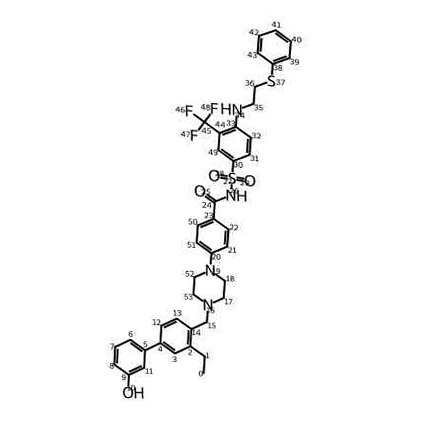 CCc1cc(-c2cccc(O)c2)ccc1CN1CCN(c2ccc(C(=O)NS(=O)(=O)c3ccc(NCCSc4ccccc4)c(C(F)(F)F)c3)cc2)CC1